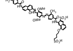 COc1cc(N=Nc2ccc3cc(NC(=O)c4ccc(N)cc4)ccc3c2O)c(OC)cc1N=Nc1ccc(C(=O)Nc2cc3c(OCCCCS(=O)(=O)O)cccc3cc2S(=O)(=O)O)cc1C